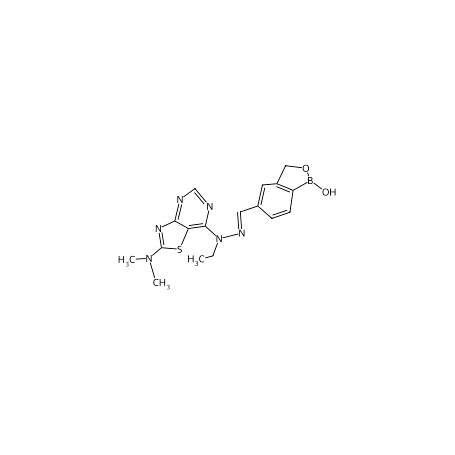 CCN(/N=C/c1ccc2c(c1)COB2O)c1ncnc2nc(N(C)C)sc12